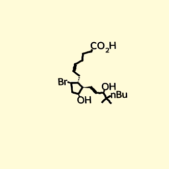 CCCCC(C)(C)[C@H](O)/C=C/[C@@H]1[C@@H](C/C=C\CCCC(=O)O)[C@H](Br)C[C@H]1O